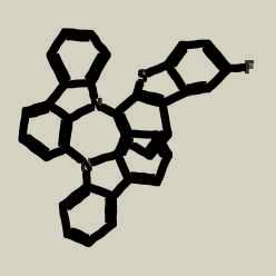 Fc1ccc2sc3c(-n4c5ccccc5c5cccc(-n6c7ccccc7c7ccccc76)c54)nccc3c2c1